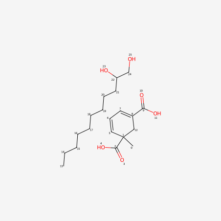 CC1(C(=O)O)C=CC=C(C(=O)O)C1.CCCCCCCCCC(O)CO